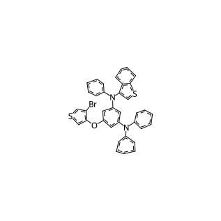 Brc1cscc1Oc1cc(N(c2ccccc2)c2ccccc2)cc(N(c2ccccc2)c2csc3ccccc23)c1